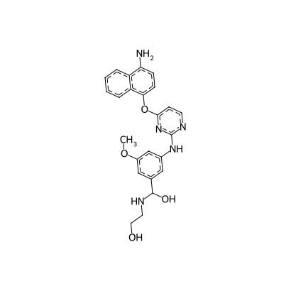 COc1cc(Nc2nccc(Oc3ccc(N)c4ccccc34)n2)cc(C(O)NCCO)c1